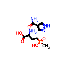 CP(=O)(O)CCC(N)C(=O)O.NC(=O)c1cn[nH]c1